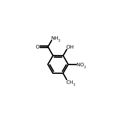 Cc1ccc(C(N)=O)c(O)c1[N+](=O)[O-]